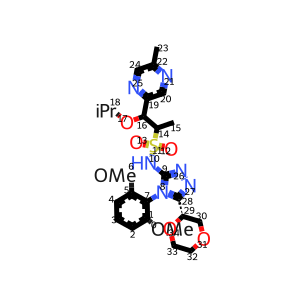 COc1cccc(OC)c1-n1c(NS(=O)(=O)C(C)C(OC(C)C)c2cnc(C)cn2)nnc1[C@@H]1COCCO1